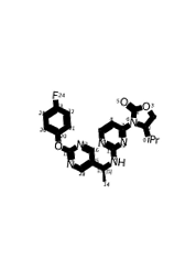 CC(C)C1COC(=O)N1c1ccnc(N[C@@H](C)c2cnc(Oc3ccc(F)cc3)nc2)n1